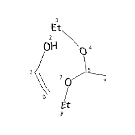 C=CO.CCOC(C)OCC